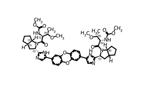 COC(=O)N[C@H](C(=O)N1[C@@H]2CCC[C@@H]2C[C@H]1c1ncc(-c2ccc3c(c2)Oc2ccc(-c4cnc([C@@H]5C[C@@H]6CCC[C@@H]6N5C(=O)[C@@H](NC(=O)OC)[C@@H](C)OC)[nH]4)cc2O3)[nH]1)[C@@H](C)OC